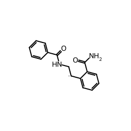 NC(=O)c1ccccc1[CH]CNC(=O)c1ccccc1